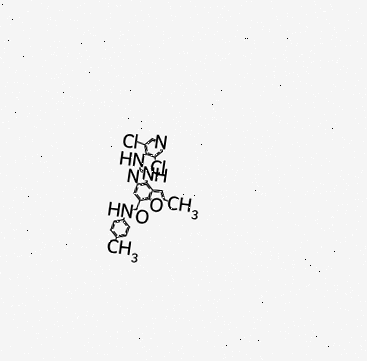 Cc1ccc(NC(=O)c2cc3nc(Nc4c(Cl)cncc4Cl)[nH]c3c3cc(C)oc23)cc1